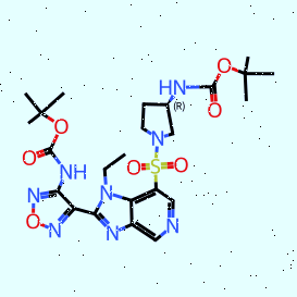 CCn1c(-c2nonc2NC(=O)OC(C)(C)C)nc2cncc(S(=O)(=O)N3CC[C@@H](NC(=O)OC(C)(C)C)C3)c21